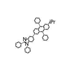 CC(C)c1ccc2c(-c3ccccc3)c3cc(-c4ccc5c(c4)nc(-c4ccccc4)n5-c4ccccc4)ccc3c(-c3ccccc3)c2c1